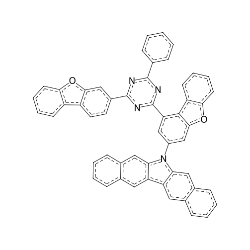 c1ccc(-c2nc(-c3ccc4c(c3)oc3ccccc34)nc(-c3cc(-n4c5cc6ccccc6cc5c5cc6ccccc6cc54)cc4oc5ccccc5c34)n2)cc1